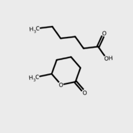 CC1CCCC(=O)O1.CCCCCC(=O)O